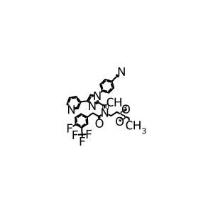 CCS(=O)(=O)CCN(C(=O)Cc1ccc(F)c(C(F)(F)F)c1)[C@H](C)c1nc(-c2cccnc2)cn1-c1ccc(C#N)cc1